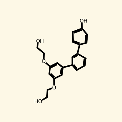 OCCOc1cc(OCCO)cc(-c2cccc(-c3ccc(O)cc3)c2)c1